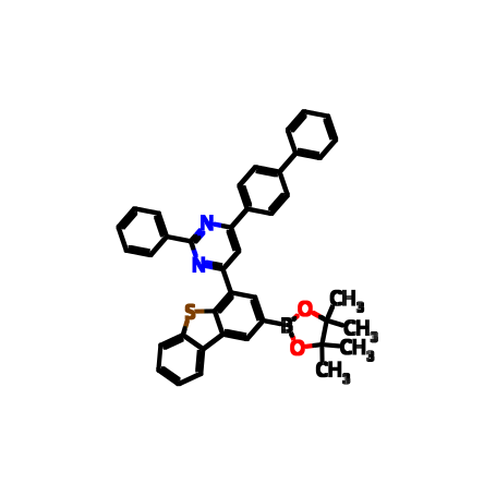 CC1(C)OB(c2cc(-c3cc(-c4ccc(-c5ccccc5)cc4)nc(-c4ccccc4)n3)c3sc4ccccc4c3c2)OC1(C)C